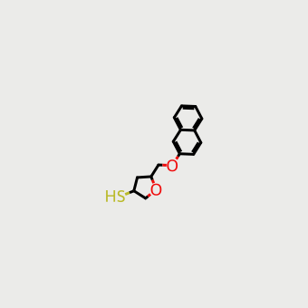 SC1COC(COc2ccc3ccccc3c2)C1